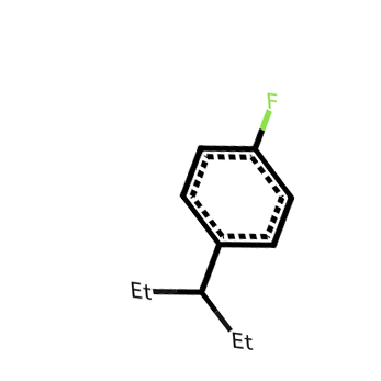 CC[C](CC)c1ccc(F)cc1